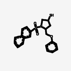 O=S(=O)(c1ccc2ccccc2c1)N1CC(S)CC1COc1ccccc1